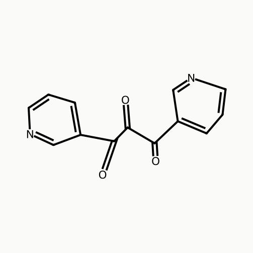 O=C(C(=O)c1cccnc1)C(=O)c1cccnc1